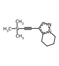 C[Si](C)(C)C#Cc1cnn2c1CCCC2